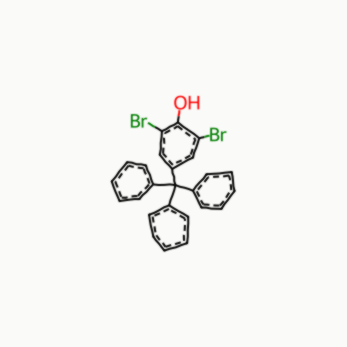 Oc1c(Br)cc(C(c2ccccc2)(c2ccccc2)c2ccccc2)cc1Br